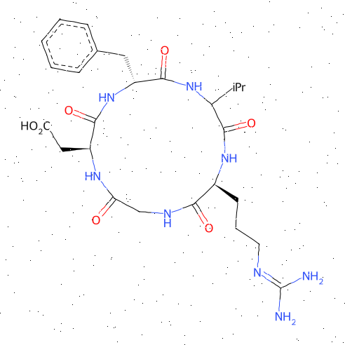 CC(C)C1NC(=O)[C@@H](Cc2ccccc2)NC(=O)[C@H](CC(=O)O)NC(=O)CNC(=O)[C@H](CCCN=C(N)N)NC1=O